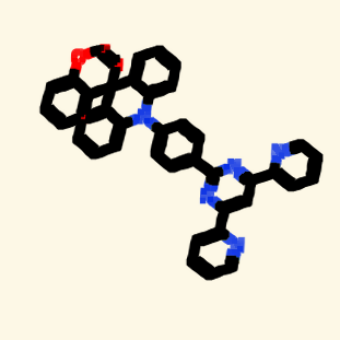 c1ccc(-c2cc(-c3ccccn3)nc(-c3ccc(N4c5ccccc5C5(c6ccccc6Oc6ccccc65)c5ccccc54)cc3)n2)nc1